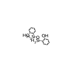 Oc1ccccc1[SiH2]O[SiH2]c1ccccc1O